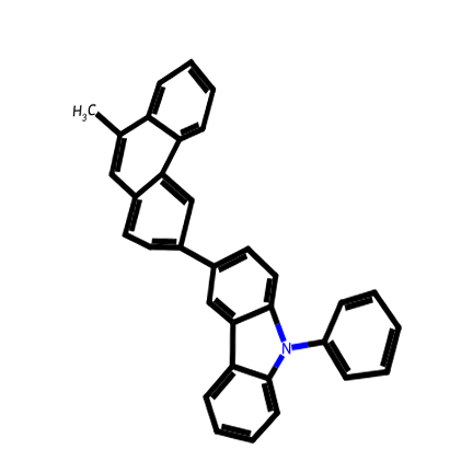 Cc1cc2ccc(-c3ccc4c(c3)c3ccccc3n4-c3ccccc3)cc2c2ccccc12